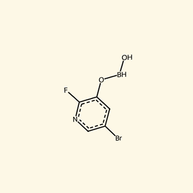 OBOc1cc(Br)cnc1F